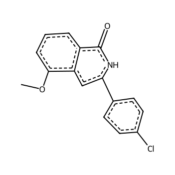 COc1cccc2c(=O)[nH]c(-c3ccc(Cl)cc3)cc12